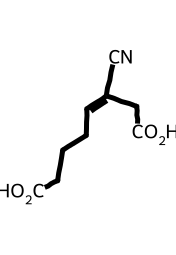 N#CC(=CCCCC(=O)O)CC(=O)O